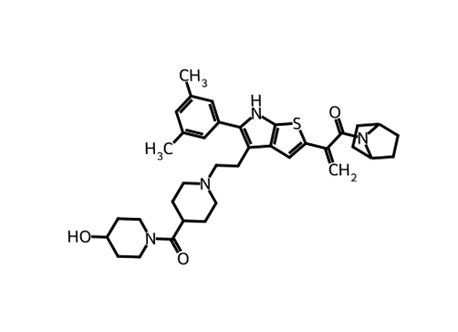 C=C(C(=O)N1C2CCC1CC2)c1cc2c(CCN3CCC(C(=O)N4CCC(O)CC4)CC3)c(-c3cc(C)cc(C)c3)[nH]c2s1